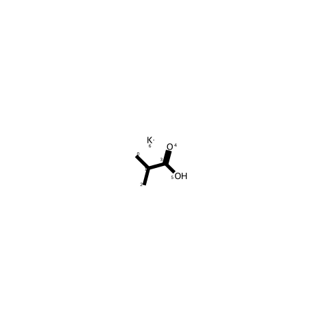 CC(C)C(=O)O.[K]